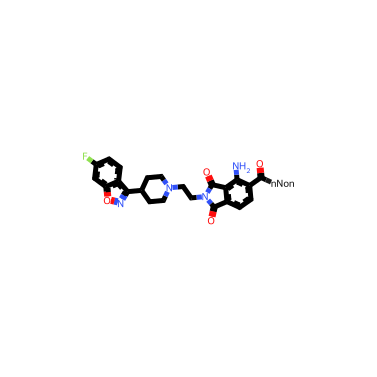 CCCCCCCCCC(=O)c1ccc2c(c1N)C(=O)N(CCN1CCC(c3noc4cc(F)ccc34)CC1)C2=O